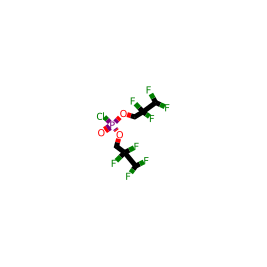 O=P(Cl)(OCC(F)(F)C(F)F)OCC(F)(F)C(F)F